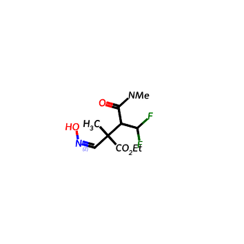 CCOC(=O)C(C)(/C=N\O)C(C(=O)NC)C(F)F